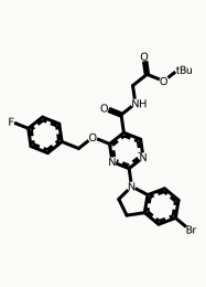 CC(C)(C)OC(=O)CNC(=O)c1cnc(N2CCc3cc(Br)ccc32)nc1OCc1ccc(F)cc1